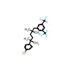 CC(C)(CCC(C)(C)c1ccc(Cl)cc1)Cc1cc(C(F)(F)F)cc(C(F)(F)F)c1